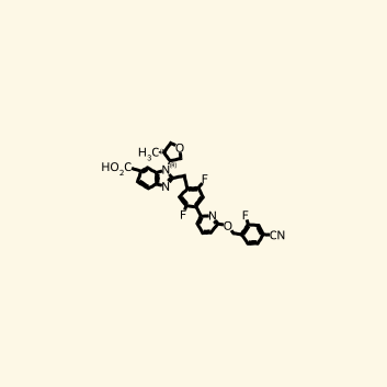 C[C@@H]1COC[C@@H]1n1c(Cc2cc(F)c(-c3cccc(OCc4ccc(C#N)cc4F)n3)cc2F)nc2ccc(C(=O)O)cc21